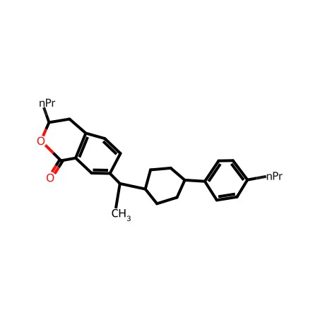 CCCc1ccc(C2CCC(C(C)c3ccc4c(c3)C(=O)OC(CCC)C4)CC2)cc1